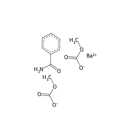 COC(=O)[O-].COC(=O)[O-].NC(=O)c1ccccc1.[Ba+2]